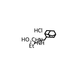 CCC(NNCC1C2CC3CC(C2)CC1C3)C(=O)O.Cl